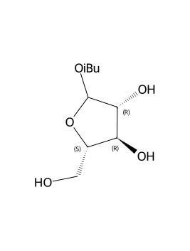 CC(C)COC1O[C@@H](CO)[C@H](O)[C@H]1O